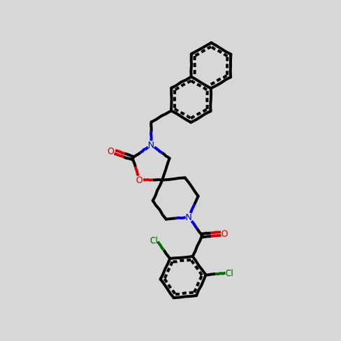 O=C1OC2(CCN(C(=O)c3c(Cl)cccc3Cl)CC2)CN1Cc1ccc2ccccc2c1